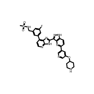 CS(=O)(=O)NCc1cc(F)cc(-c2ccnc3[nH]c(-c4n[nH]c5ccc(-c6cncc(OC7CCNCC7)c6)nc45)nc23)c1